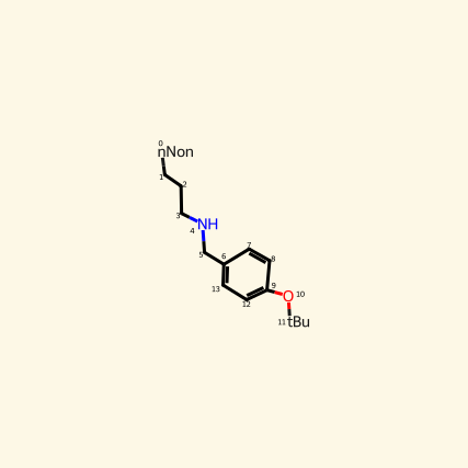 CCCCCCCCCCCCNCc1ccc(OC(C)(C)C)cc1